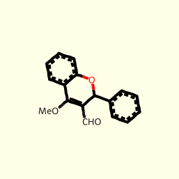 COC1=C(C=O)C(c2ccccc2)Oc2ccccc21